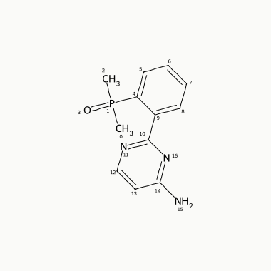 CP(C)(=O)c1ccccc1-c1nccc(N)n1